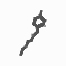 CCOCCSCc1ccc(C)cc1